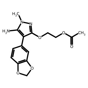 CC(=O)OCCOc1nn(C)c(N)c1-c1ccc2c(c1)OCO2